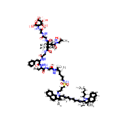 CC(C)CC(NC(=O)C(Cc1ccccc1)NC(=O)CNC(=O)C(C)(C)C(C)(C(=O)NCC(=O)NCC(=O)NC1C(O)OC(O)C(O)C1O)C(C)(C)C(=O)NCC(C)O)C(=O)NCC(=O)NC(CCCCNS(=O)(=O)CCCC[N+]1=C(/C=C/C=C/C=C/C=C/C2=[N+](CCCCS(=O)(=O)O)c3c(ccc4ccccc34)C2(C)C)C(C)(C)c2ccc3ccccc3c21)C(=O)O